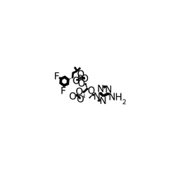 C[C@@H](O[C@H](COP1(=O)O[C@H](c2cc(F)cc(F)c2)CC(C)(C)O1)[C@@H]1COC(=O)O1)n1cnc2c(N)ncnc21